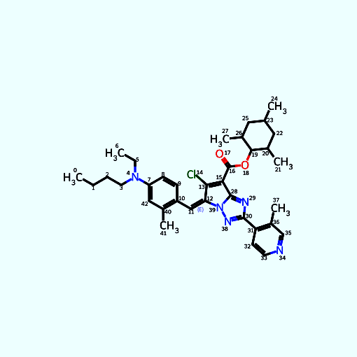 CCCCN(CC)c1ccc(/C=c2\c(Cl)c(C(=O)OC3C(C)CC(C)CC3C)c3nc(-c4ccncc4C)nn23)c(C)c1